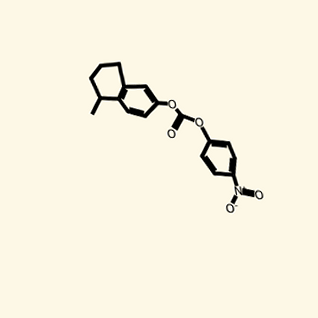 CC1CCCc2cc(OC(=O)Oc3ccc([N+](=O)[O-])cc3)ccc21